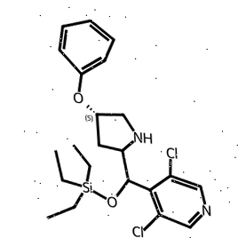 CC[Si](CC)(CC)OC(c1c(Cl)cncc1Cl)C1C[C@H](Oc2ccccc2)CN1